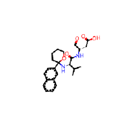 CC(C)[C@H](NC1(c2ccc3ccccc3c2)CCCCO1)C(=O)N[C@H](C=O)CC(=O)O